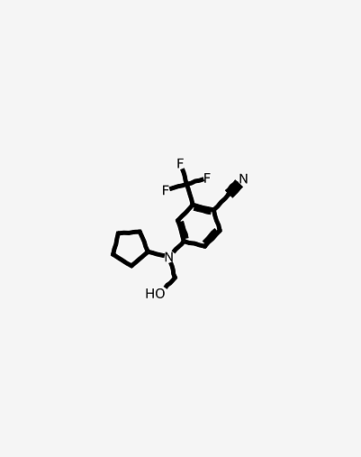 N#Cc1ccc(N(CO)C2CCCC2)cc1C(F)(F)F